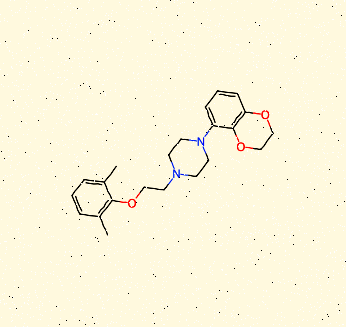 Cc1cccc(C)c1OCCN1CCN(c2cccc3c2OCCO3)CC1